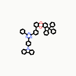 c1ccc(-c2nc(-c3ccc(-n4c5ccccc5c5ccccc54)cc3)nc(-c3cccc(-c4cccc5c4Oc4c(ccc6c4-c4ccccc4C6(c4ccccc4)c4ccccc4)O5)c3)n2)cc1